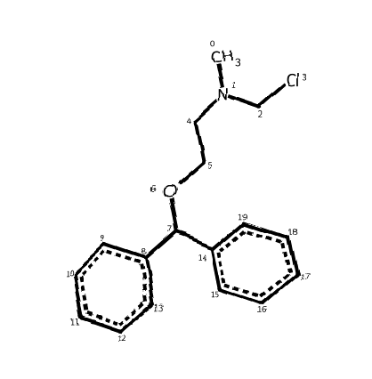 CN(CCl)CCOC(c1ccccc1)c1ccccc1